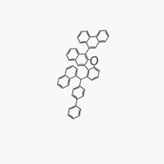 c1ccc(-c2ccc(C(c3cccc4ccccc34)c3cccc4oc5c(-c6cc7ccccc7c7ccccc67)c6ccccc6cc5c34)cc2)cc1